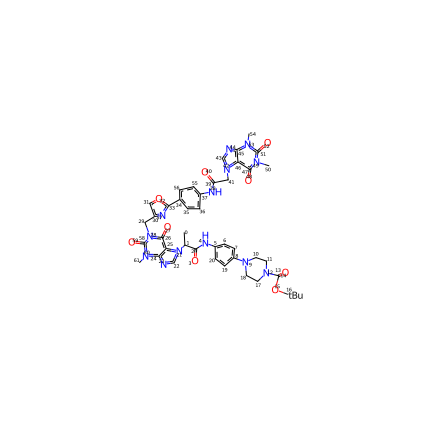 CC(C(=O)Nc1ccc(N2CCN(C(=O)OC(C)(C)C)CC2)cc1)n1cnc2c1c(=O)n(Cc1coc(-c3ccc(NC(=O)Cn4cnc5c4c(=O)n(C)c(=O)n5C)cc3)n1)c(=O)n2C